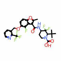 Cc1oc2ccc(OCc3cccnc3C(F)(F)F)c(F)c2c1C(=O)NC1CCN(C(=O)O)C(C(C)(C)C)C1(F)F